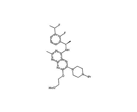 COCCOc1nc2nc(C)nc(N[C@H](C)c3cccc(C(C)F)c3F)c2cc1N1CCN(C(C)C)CC1